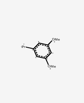 COc1cc(OC)cc([C](C)C)c1